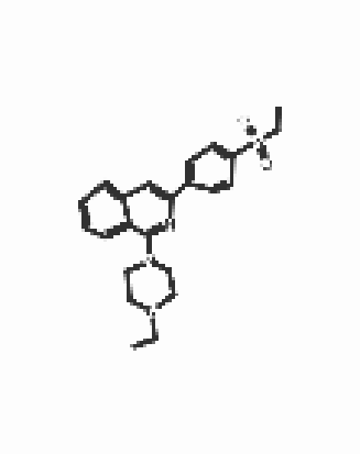 CCN1CCN(c2nc(-c3ccc(S(=O)(=O)CC)cc3)cc3ccccc23)CC1